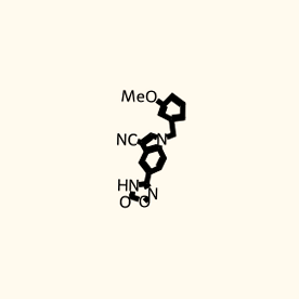 COc1cccc(Cn2cc(C#N)c3cc(-c4noc(=O)[nH]4)ccc32)c1